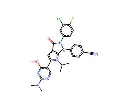 COc1nc(N(C)C)ncc1-c1cc2c(n1C(C)C)[C@H](c1ccc(C#N)cc1)N(c1ccc(F)c(Cl)c1)C2=O